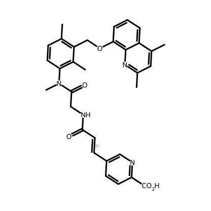 Cc1cc(C)c2cccc(OCc3c(C)ccc(N(C)C(=O)CNC(=O)/C=C/c4ccc(C(=O)O)nc4)c3C)c2n1